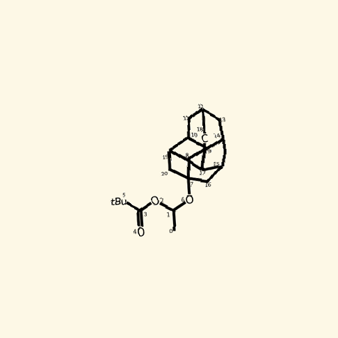 CC(OC(=O)C(C)(C)C)OC12CC3C4CC5CC3C(C1)C(C5)C4C2